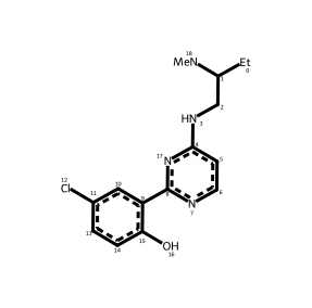 CCC(CNc1ccnc(-c2cc(Cl)ccc2O)n1)NC